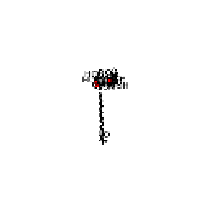 CCC(CC)(C(=O)O)C(O)(C(=O)O)C(CC)(C(C)=O)C(=O)O.CCC(CC)(C(=O)O)C(O)(C(=O)O)C(CC)(C(C)=O)C(=O)O.CCCCCCCCCCCCCCCC(=O)OC(C)C